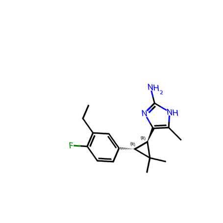 CCc1cc([C@@H]2[C@@H](c3nc(N)[nH]c3C)C2(C)C)ccc1F